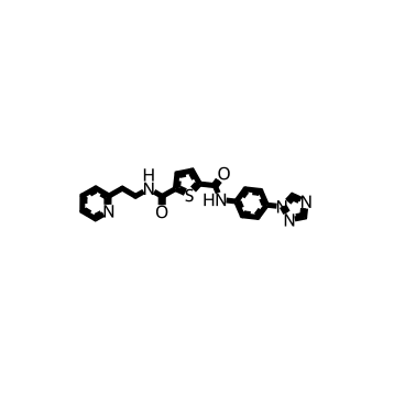 O=C(NCCc1ccccn1)c1ccc(C(=O)Nc2ccc(-n3cncn3)cc2)s1